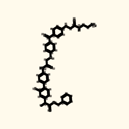 CC(C(=O)OCc1ccccc1)c1ccc(-c2ccc(NC(=O)COc3ccc(C(=O)c4ccc(OCC(=O)NCCN)cc4)cc3)cc2)c(F)c1